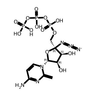 C=C1N=C(N)C=CN1[C@@H]1O[C@@](COP(=O)(O)OP(=O)(O)OP(=O)(O)O)(N=[N+]=[N-])[C@@H](O)[C@H]1O